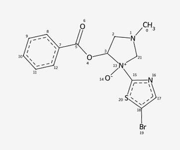 CN1CC(OC(=O)c2ccccc2)[N+]([O-])(c2ncc(Br)s2)C1